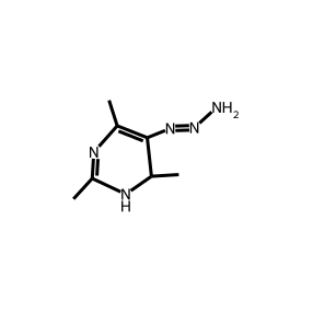 CC1=NC(C)=C(N=NN)C(C)N1